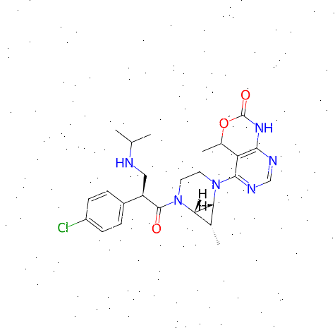 CC(C)NC[C@@H](C(=O)N1CCN(c2ncnc3c2C(C)OC(=O)N3)[C@@H]2[C@H](C)[C@@H]21)c1ccc(Cl)cc1